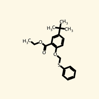 CCOC(=O)c1cc(C(C)(C)C)ccc1OCSc1ccccc1